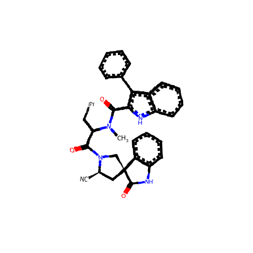 CC(C)CC(C(=O)N1C[C@]2(C[C@H]1C#N)C(=O)Nc1ccccc12)N(C)C(=O)c1[nH]c2ccccc2c1-c1ccccc1